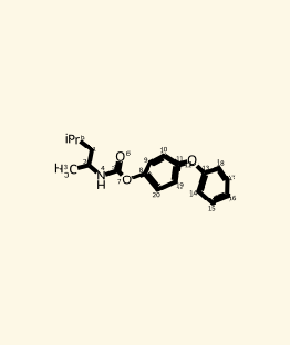 CC(C)CC(C)NC(=O)Oc1ccc(Oc2ccccc2)cc1